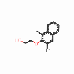 CCc1cc2ccccc2c(C)c1OCCO